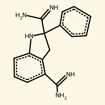 N=C(N)c1cccc2c1CC(C(=N)N)(c1ccccc1)N2